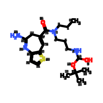 CCCN(CCCNC(O)OC(C)(C)C)C(=O)C1=Cc2sccc2N=C(N)C1